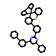 c1ccc(-c2cccc(-c3cc(-c4ccccc4)nc(-c4cccc(-c5cccc6c5Sc5ccccc5C65c6ccccc6-c6ccccc65)c4)n3)c2)cc1